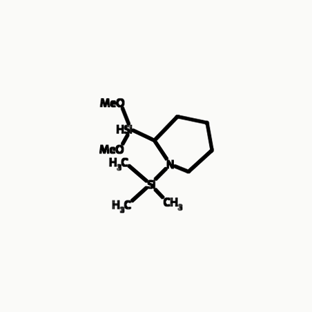 CO[SiH](OC)C1CCCCN1[Si](C)(C)C